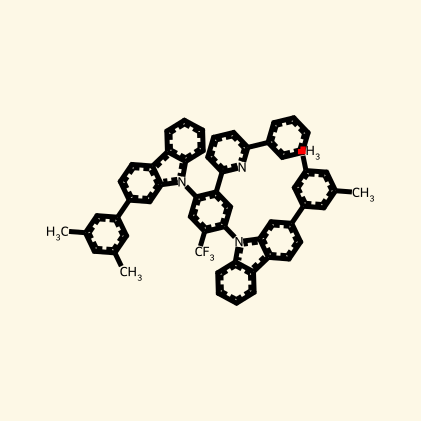 Cc1cc(C)cc(-c2ccc3c4ccccc4n(-c4cc(C(F)(F)F)c(-n5c6ccccc6c6ccc(-c7cc(C)cc(C)c7)cc65)cc4-c4cccc(-c5ccccc5)n4)c3c2)c1